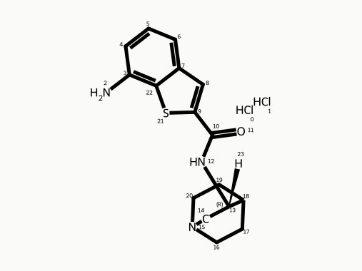 Cl.Cl.Nc1cccc2cc(C(=O)N[C@H]3CN4CCC3CC4)sc12